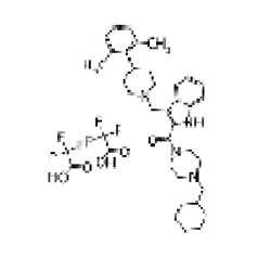 Cc1cccc(C)c1C1CCN(Cc2c(C(=O)N3CCN(CC4CCCCC4)CC3)[nH]c3ccccc23)CC1.O=C(O)C(F)(F)F.O=C(O)C(F)(F)F